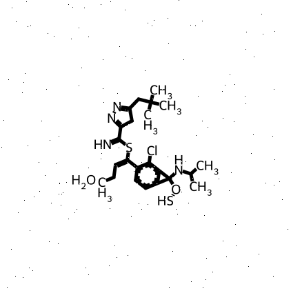 CC/C=C(/SC(=N)C1=NN=C(CC(C)(C)C)C1)c1ccc2c(c1Cl)C2(NC(C)C)OS.O